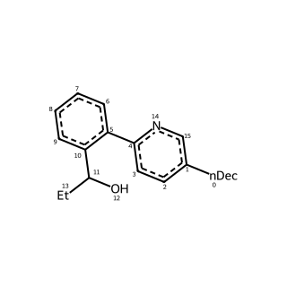 CCCCCCCCCCc1ccc(-c2ccccc2C(O)CC)nc1